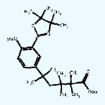 COC(=O)C(C)(C)C(C)(C)CC(C)(C)c1ccc(OC)c(B2OC(C)(C)C(C)(C)O2)c1